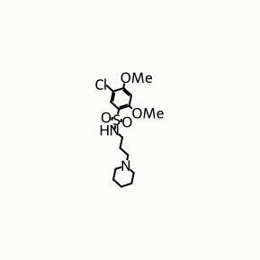 COc1cc(OC)c(S(=O)(=O)NCCCN2CCCCC2)cc1Cl